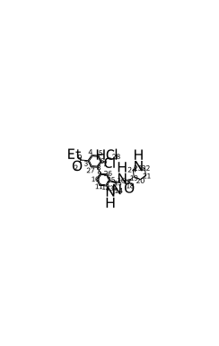 CCC(=O)c1ccc(Cl)c(-c2ccc3[nH]nc(NC(=O)[C@@H]4CCCNC4)c3c2)c1.Cl